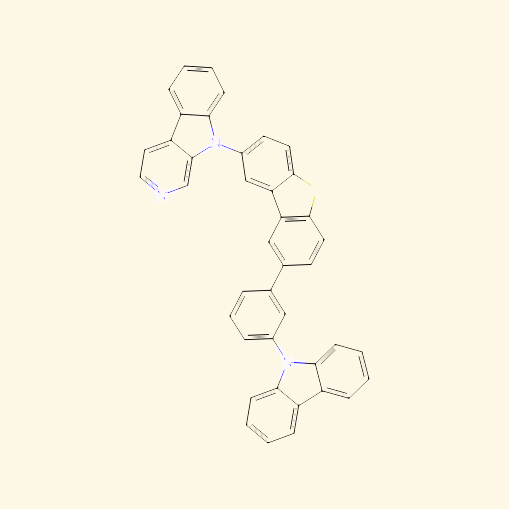 c1cc(-c2ccc3sc4ccc(-n5c6ccccc6c6ccncc65)cc4c3c2)cc(-n2c3ccccc3c3ccccc32)c1